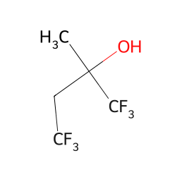 CC(O)(CC(F)(F)F)C(F)(F)F